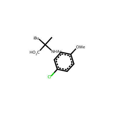 CCC(C)C(C)(NC(C)=O)C(=O)O.COc1ccc(Cl)cc1